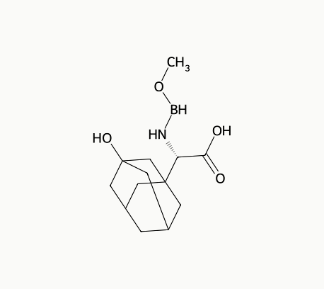 COBN[C@H](C(=O)O)C12CC3CC(CC(O)(C3)C1)C2